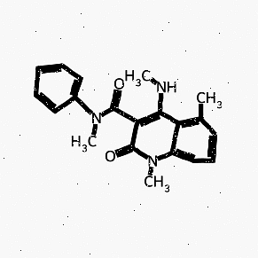 CNc1c(C(=O)N(C)c2ccccc2)c(=O)n(C)c2cccc(C)c12